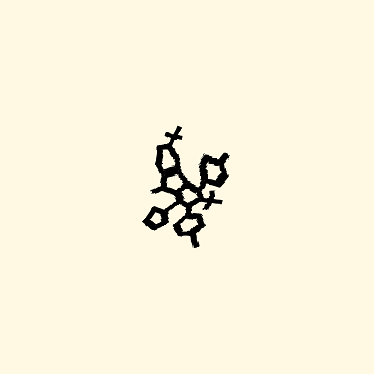 Cc1ccc(-c2c(C3=CC=CC3)c3c(c(-c4ccc(C)cc4)c2C(C)(C)C)-c2cc(C(C)(C)C)ccc2C3C)cc1